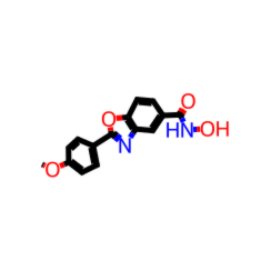 COc1ccc(-c2nc3cc(C(=O)NO)ccc3o2)cc1